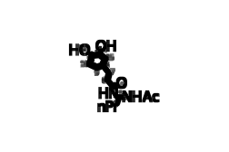 CCCC(NC(C)=O)NC(=O)C=Cc1ccc(O)c(O)c1